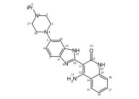 CC(C)N1CCN(c2ccc3nc(-c4c(N)c5ccccc5[nH]c4=O)[nH]c3c2)CC1